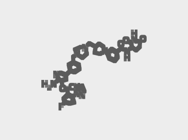 C[C@@H](Oc1cc(-c2cccc(CN3CCN(CC4CCN(c5cccc(C(=O)NC6CCC(=O)NC6=O)c5)CC4)CC3)c2)cnc1N)c1cc(F)ccc1-n1nccn1